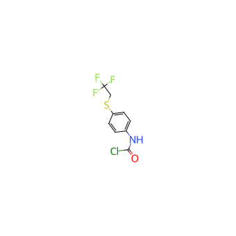 O=C(Cl)Nc1ccc(SCC(F)(F)F)cc1